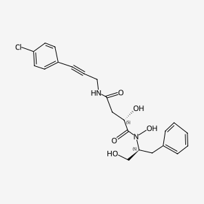 O=C(C[C@H](O)C(=O)N(O)[C@H](CO)Cc1ccccc1)NCC#Cc1ccc(Cl)cc1